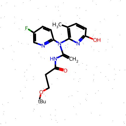 C=C(NC(=O)CCOC(C)(C)C)N(c1ccc(F)cn1)c1nc(O)ccc1C